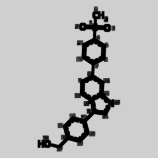 CS(=O)(=O)c1ccc(-c2ccn3c(-c4ccc(CO)cc4)cnc3c2)cc1